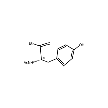 CCC(=O)[C@H](Cc1ccc(O)cc1)NC(C)=O